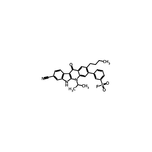 CCCCc1cc2c(=O)c3c4ccc(C#N)cc4[nH]c3n(C(C)C)c2cc1-c1cccc(S(=O)(=O)F)c1